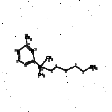 CCCCCC[Si](C)(C)c1cccc(C)n1